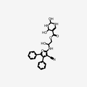 N#Cc1c(NC(O)COC(=O)C2=CNC(O)NC2O)oc(-c2ccccc2)c1-c1ccccc1